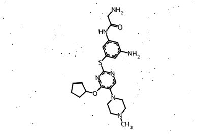 CN1CCN(c2cnc(Sc3cc(N)cc(NC(=O)CN)c3)nc2OC2CCCC2)CC1